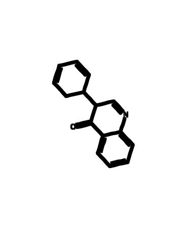 O=C1c2ccccc2N=CC1C1C=CC=CC1